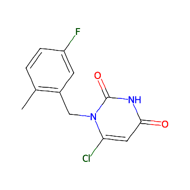 Cc1ccc(F)cc1Cn1c(Cl)cc(=O)[nH]c1=O